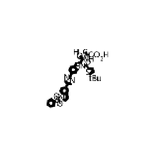 C[C@@H](NC(=O)[C@H](Cc1ccc(-c2ncc(-c3ccc4c(ccn4S(=O)(=O)c4ccccc4)c3)cn2)cc1)NC(=O)c1ccc(C(C)(C)C)s1)C(=O)O